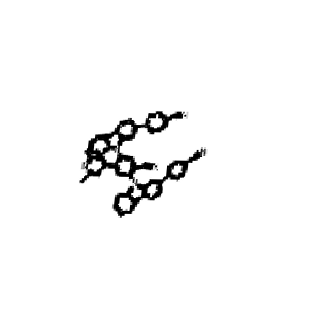 Cc1cc(-c2cc(-n3c4ccccc4c4ccc(-c5ccc(C#N)cc5)cc43)c(C#N)cc2-n2c3ccccc3c3ccc(-c4ccc(C#N)cc4)cc32)cc(C)n1